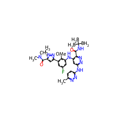 BC(B)(B)NC(=O)c1nnc(Nc2ccc(C)nn2)cc1Nc1cc(F)cc(-c2cc(C(=O)N(C)C)n(C)n2)c1OC